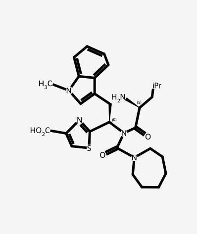 CC(C)C[C@H](N)C(=O)N(C(=O)N1CCCCCC1)[C@H](Cc1cn(C)c2ccccc12)c1nc(C(=O)O)cs1